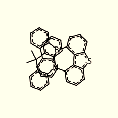 CC1(C)c2ccccc2N(c2cccc3sc4cccc(B5c6ccccc6-c6ccccc65)c4c23)c2ccccc21